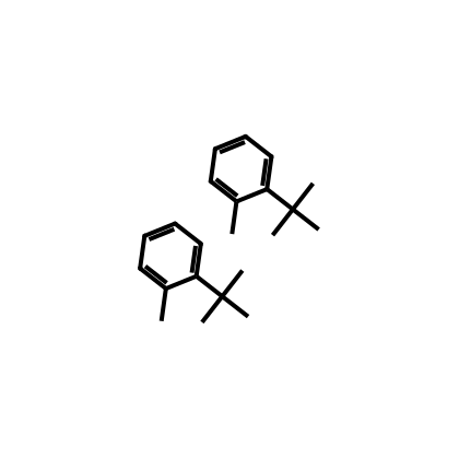 Cc1ccccc1C(C)(C)C.Cc1ccccc1C(C)(C)C